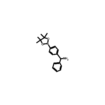 CC1(C)OB(c2ccc(C(N)c3ccccc3)cc2)OC1(C)C